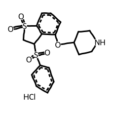 Cl.O=S1(=O)CC(S(=O)(=O)c2ccccc2)c2c(OC3CCNCC3)cccc21